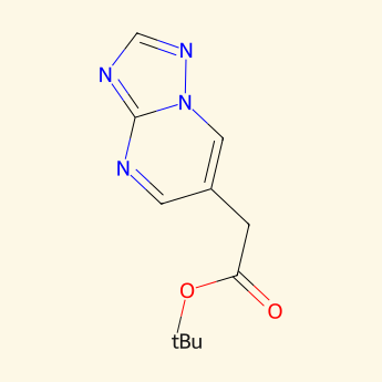 CC(C)(C)OC(=O)Cc1cnc2ncnn2c1